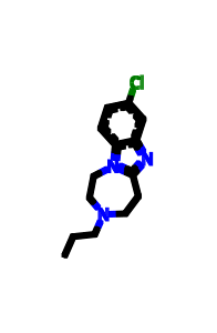 CCCN1CCc2nc3cc(Cl)ccc3n2CC1